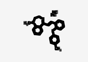 Cc1ccc(Sc2ccccc2C=CC2=NCCN(C)c3ccccc32)cc1.Cl.Cl